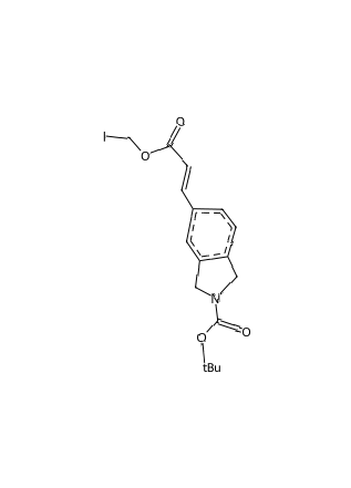 CC(C)(C)OC(=O)N1Cc2ccc(/C=C/C(=O)OCI)cc2C1